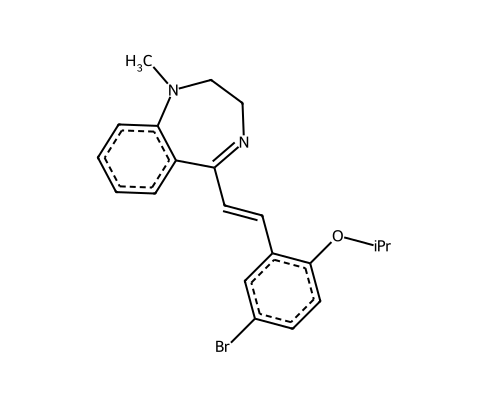 CC(C)Oc1ccc(Br)cc1C=CC1=NCCN(C)c2ccccc21